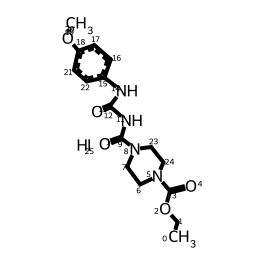 CCOC(=O)N1CCN(C(=O)NC(=O)Nc2ccc(OC)cc2)CC1.I